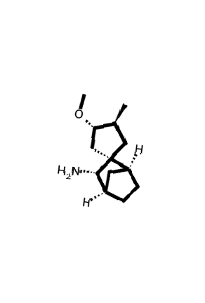 CO[C@H]1C[C@]2(C[C@@H]1C)[C@H]1CC[C@H](C1)[C@@H]2N